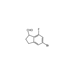 O=CC1CCc2cc(Br)cc(F)c21